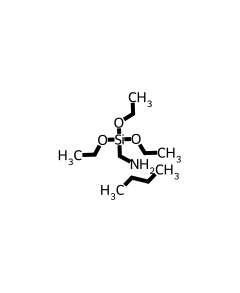 CCCC.CCO[Si](CN)(OCC)OCC